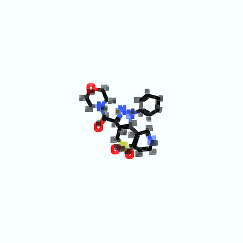 O=C(c1nn(-c2ccccc2)c2c1CS(=O)(=O)c1ccncc1-2)N1CCOCC1